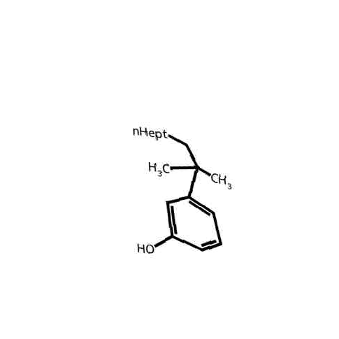 CCCCCCCCC(C)(C)c1cccc(O)c1